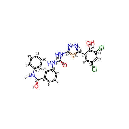 CN(C(=O)c1cccc(NC(=O)Nc2nnc(-c3cc(Cl)cc(Cl)c3O)s2)c1)c1ccccc1